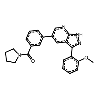 COc1ccccc1-c1n[nH]c2ncc(-c3cccc(C(=O)N4CCCC4)c3)cc12